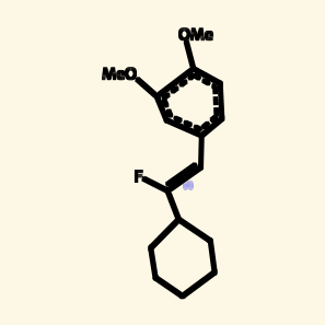 COc1ccc(/C=C(\F)C2CCCCC2)cc1OC